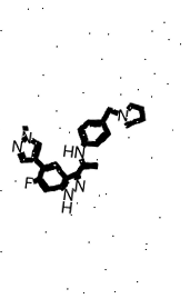 C=C(Nc1ccc(CN2CCCC2)cc1)c1n[nH]c2cc(F)c(-c3cnn(C)c3)cc12